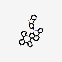 c1ccc(-c2ccccc2N(c2ccc3c(c2)-c2ccccc2-c2ccccc2-c2ccccc2-3)c2ccc3sc4ccccc4c3c2)cc1